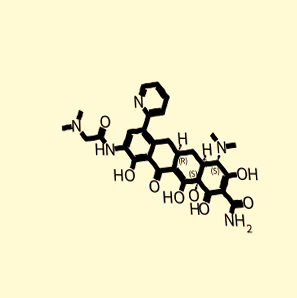 CN(C)CC(=O)Nc1cc(-c2ccccn2)c2c(c1O)C(=O)C1=C(O)[C@]3(O)C(=O)C(C(N)=O)=C(O)[C@@H](N(C)C)[C@@H]3C[C@@H]1C2